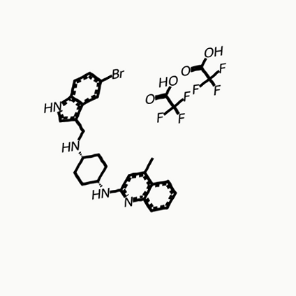 Cc1cc(N[C@H]2CC[C@@H](NCc3c[nH]c4ccc(Br)cc34)CC2)nc2ccccc12.O=C(O)C(F)(F)F.O=C(O)C(F)(F)F